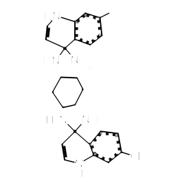 NC1(N[C@H]2CC[C@@H](NC3(N)C=CNc4cc(Cl)ccc43)CC2)C=CNc2cc(Cl)ccc21